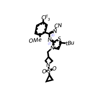 COc1ccc(C(F)(F)F)cc1C(/N=c1\sc(C(C)(C)C)cn1CC1CN(S(=O)(=O)C2CC2)C1)=N\C#N